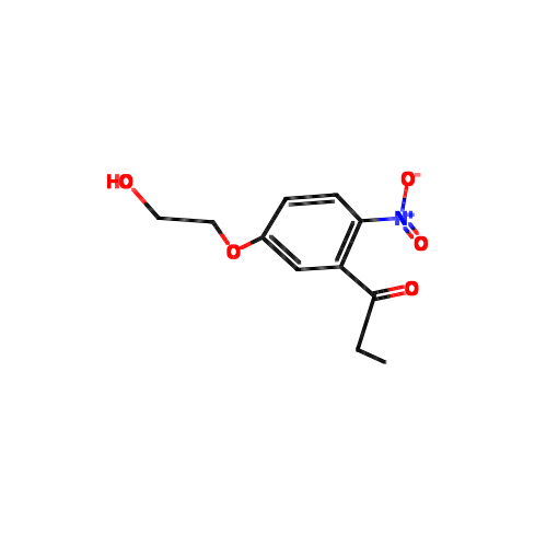 CCC(=O)c1cc(OCCO)ccc1[N+](=O)[O-]